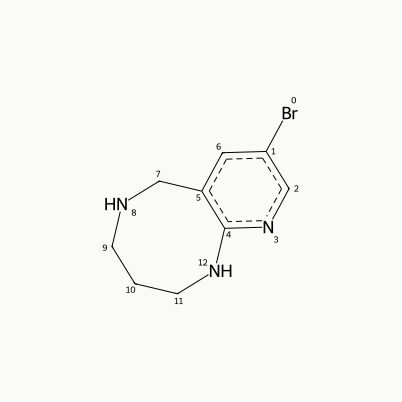 Brc1cnc2c(c1)CNCCCN2